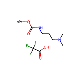 CCCOC(=O)NCCCN(C)C.O=C(O)C(F)(F)F